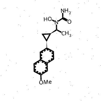 COc1ccc2cc([C@@H]3C[C@H]3C(C)N(O)C(N)=O)ccc2c1